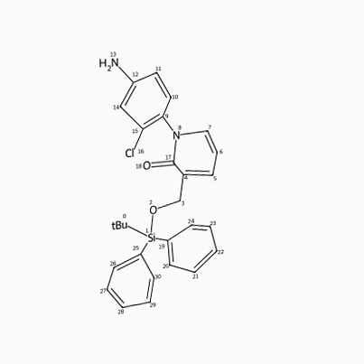 CC(C)(C)[Si](OCc1cccn(-c2ccc(N)cc2Cl)c1=O)(c1ccccc1)c1ccccc1